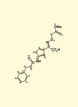 COC(=O)CON=C(C(=O)O)c1csc(NC(=O)OCc2ccccc2)n1